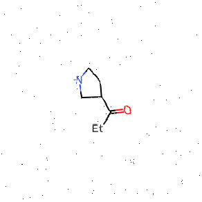 CCC(=O)C1CC[N]C1